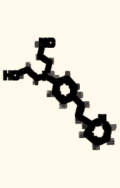 O=NCCN(CCO)c1ccc(/C=C/c2ccccn2)cc1